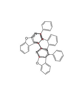 c1ccc(-c2nc(-c3ccccc3-c3ccccc3-c3ccccc3-c3nc(-c4ccccc4)c4c(n3)oc3ccccc34)c3c(n2)oc2ccccc23)cc1